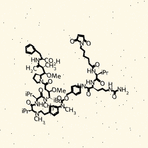 C=C(N[C@@H](Cc1ccccc1)C(=O)O)[C@H](C)[C@@H](OC)[C@@H]1CCCN1C(=O)C[C@@H](OC)[C@H]([C@@H](C)CC)N(C)C(=O)[C@@H](NC(=O)[C@H](C(C)C)N(C)CCc1ccc(N(C)C(=O)OCc2ccc(NC(=O)[C@H](CCCNC(N)=O)NC(=O)[C@@H](NC(=O)CCCCCN3C(=O)C=CC3=O)C(C)C)cc2)cc1)C(C)C